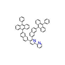 c1ccc(-c2c3ccccc3c(-c3ccc4ccc(-c5ccc(-c6ccccn6)nc5-c5ccc6ccc(-c7c8ccccc8c(-c8ccccc8)c8ccccc78)cc6c5)cc4c3)c3ccccc23)cc1